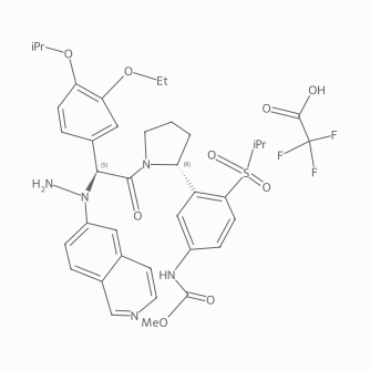 CCOc1cc([C@@H](C(=O)N2CCC[C@@H]2c2cc(NC(=O)OC)ccc2S(=O)(=O)C(C)C)N(N)c2ccc3cnccc3c2)ccc1OC(C)C.O=C(O)C(F)(F)F